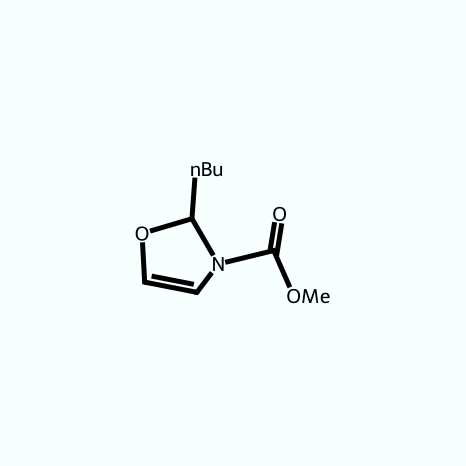 CCCCC1OC=CN1C(=O)OC